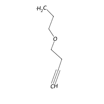 C#CCCOCC[CH2]